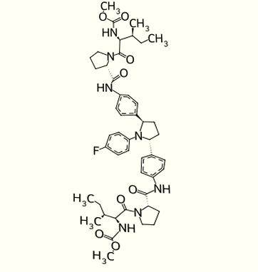 CC[C@H](C)[C@H](NC(=O)OC)C(=O)N1CCC[C@H]1C(=O)Nc1ccc([C@H]2CC[C@H](c3ccc(NC(=O)[C@@H]4CCCN4C(=O)[C@@H](NC(=O)OC)[C@@H](C)CC)cc3)N2c2ccc(F)cc2)cc1